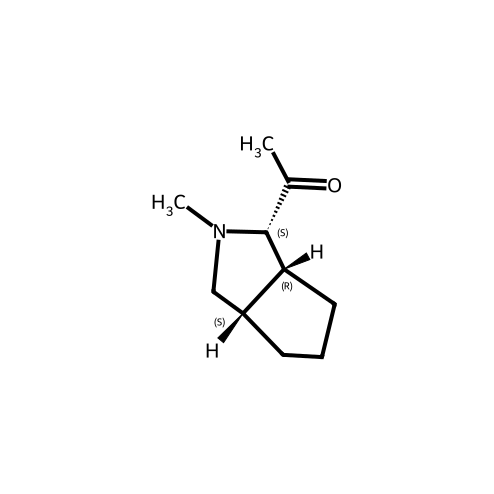 CC(=O)[C@@H]1[C@@H]2CCC[C@@H]2CN1C